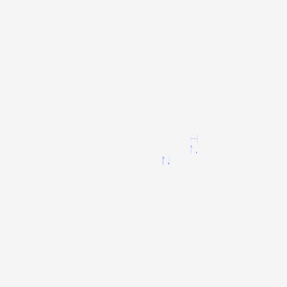 CNN(C)c1ccccc1